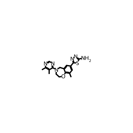 Cc1cc(-c2nnc(N)s2)cc2c1OCCN(c1ncnc(C)c1C)C2